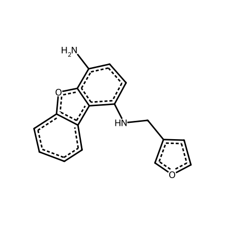 Nc1ccc(NCc2ccoc2)c2c1oc1ccccc12